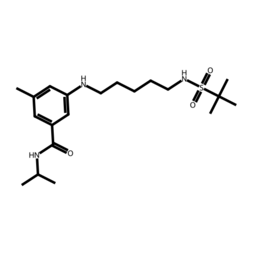 Cc1cc(NCCCCCNS(=O)(=O)C(C)(C)C)cc(C(=O)NC(C)C)c1